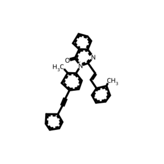 Cc1ccccc1/C=C/c1nc2ccccc2c(=O)n1-c1ccc(C#Cc2ccccc2)cc1C